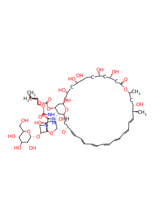 C=CCOC(=O)N[C@@H]1[C@H](O)[C@H](O[C@H]2/C=C/C=C/C=C/C=C/C=C/C=C/C=C/[C@H](C)[C@@H](O)C[C@H](C)OC(=O)C[C@H](O)C[C@H](O)CC[C@@H](O)[C@H](O)C[C@H](O)C[C@]3(O)C[C@H](OC(=O)OCC=C)[C@@H](NC(=O)N4CC(O[C@H]5OC(CO)[C@@H](O)C(O)[C@H]5O)C4)[C@H](C2)O3)OC[C@H]1O